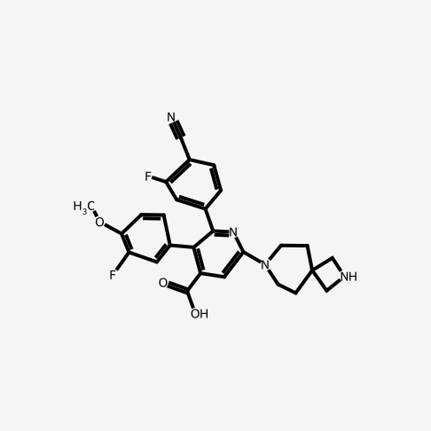 COc1ccc(-c2c(C(=O)O)cc(N3CCC4(CC3)CNC4)nc2-c2ccc(C#N)c(F)c2)cc1F